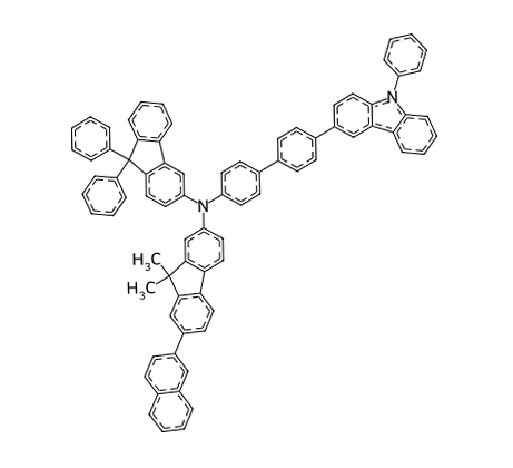 CC1(C)c2cc(-c3ccc4ccccc4c3)ccc2-c2ccc(N(c3ccc(-c4ccc(-c5ccc6c(c5)c5ccccc5n6-c5ccccc5)cc4)cc3)c3ccc4c(c3)-c3ccccc3C4(c3ccccc3)c3ccccc3)cc21